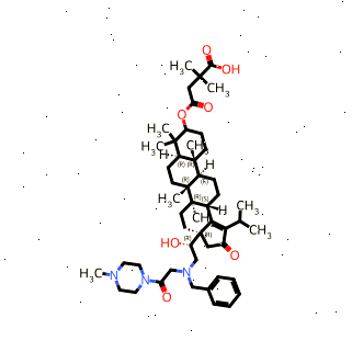 CC(C)C1=C2[C@H]3CC[C@@H]4[C@@]5(C)CCC(OC(=O)CC(C)(C)C(=O)O)C(C)(C)[C@@H]5CC[C@@]4(C)[C@]3(C)CC[C@@]2([C@@H](O)CN(CC(=O)N2CCN(C)CC2)Cc2ccccc2)CC1=O